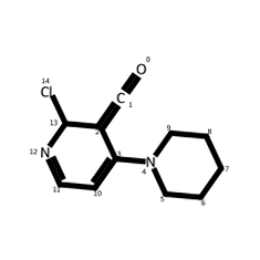 O=C=C1C(N2CCCCC2)=CC=NC1Cl